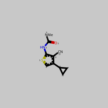 CNC(=O)Nc1scc(C2CC2)c1C#N